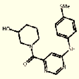 CSc1ccc(Nc2cc(C(=O)N3CCCC(O)C3)ncn2)cc1